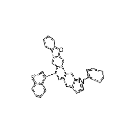 c1ccc(-n2ccc3cc4cc(-c5csc6ccccc56)c5cc6c(cc5c4cc32)oc2ccccc26)cc1